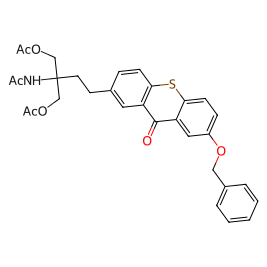 CC(=O)NC(CCc1ccc2sc3ccc(OCc4ccccc4)cc3c(=O)c2c1)(COC(C)=O)COC(C)=O